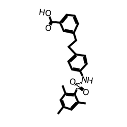 Cc1cc(C)c(S(=O)(=O)Nc2ccc(CCc3cccc(C(=O)O)c3)cc2)c(C)c1